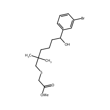 COC(=O)CSCC(C)(C)CCCC(O)c1cccc(Br)c1